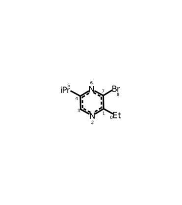 CCc1ncc(C(C)C)nc1Br